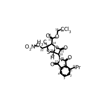 CC(C)c1cccc2c1C(=O)N(C1C(=O)N3C(C(=O)OCC(Cl)(Cl)Cl)[C@](C)(CO[N+](=O)[O-])S[C@@H]13)C2=O